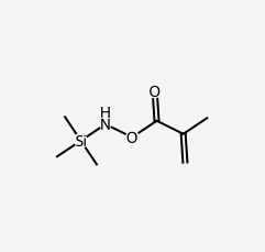 C=C(C)C(=O)ON[Si](C)(C)C